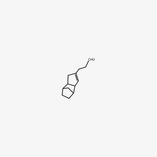 O=CCCC1=CC2C3CCC(C3)C2C1